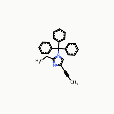 CC#Cc1cn(C(c2ccccc2)(c2ccccc2)c2ccccc2)c(CC)n1